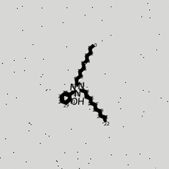 CCCCCCCCCCc1nc(CCCCCCCCCC)nc(-c2ccccc2O)n1